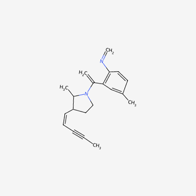 C=Nc1ccc(C)cc1C(=C)N1CCC(/C=C\C#CC)C1C